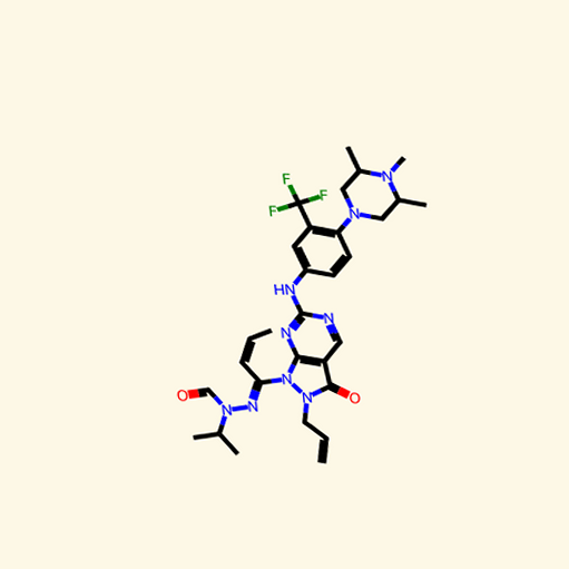 C=CCn1c(=O)c2cnc(Nc3ccc(N4CC(C)N(C)C(C)C4)c(C(F)(F)F)c3)nc2n1C(/C=C\C)=N/N(C=O)C(C)C